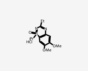 CCC1=Nc2cc(OC)c(OC)cc2S(=O)(C(C)C)=N1.Cl